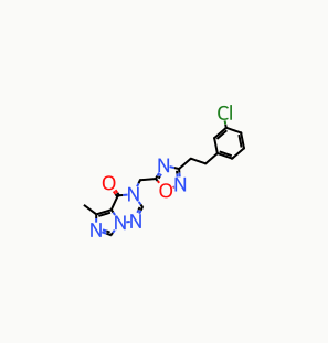 Cc1ncn2ncn(Cc3nc(CCc4cccc(Cl)c4)no3)c(=O)c12